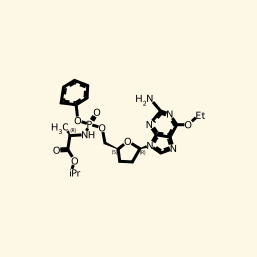 CCOc1nc(N)nc2c1ncn2[C@H]1CC[C@@H](COP(=O)(N[C@H](C)C(=O)OC(C)C)Oc2ccccc2)O1